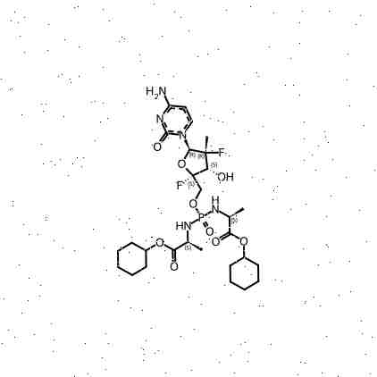 C[C@H](NP(=O)(N[C@@H](C)C(=O)OC1CCCCC1)OC[C@@]1(F)O[C@@H](n2ccc(N)nc2=O)[C@](C)(F)[C@@H]1O)C(=O)OC1CCCCC1